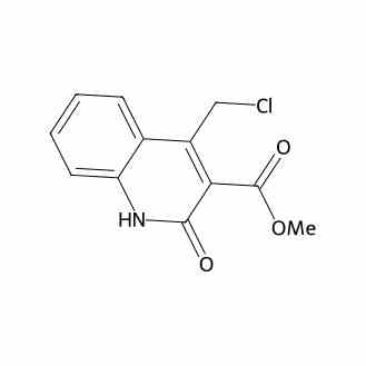 COC(=O)c1c(CCl)c2ccccc2[nH]c1=O